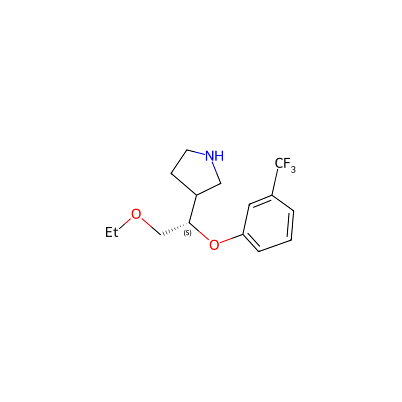 CCOC[C@@H](Oc1cccc(C(F)(F)F)c1)C1CCNC1